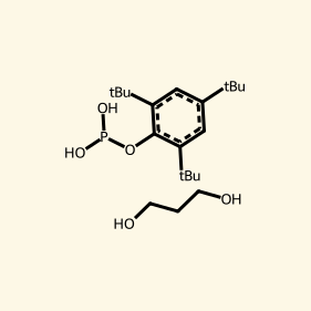 CC(C)(C)c1cc(C(C)(C)C)c(OP(O)O)c(C(C)(C)C)c1.OCCCO